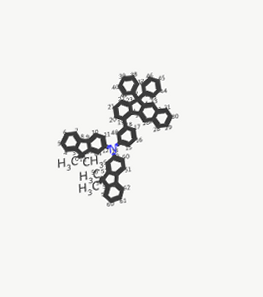 CC1(C)c2ccccc2-c2ccc(N(c3cccc(-c4cccc5c4-c4cc6ccccc6cc4C5(c4ccccc4)c4ccccc4)c3)c3ccc4c(c3)C(C)(C)c3ccccc3-4)cc21